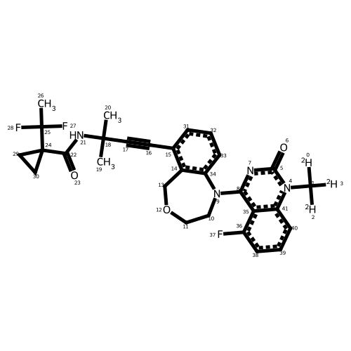 [2H]C([2H])([2H])n1c(=O)nc(N2CCOCc3c(C#CC(C)(C)NC(=O)C4(C(C)(F)F)CC4)cccc32)c2c(F)cccc21